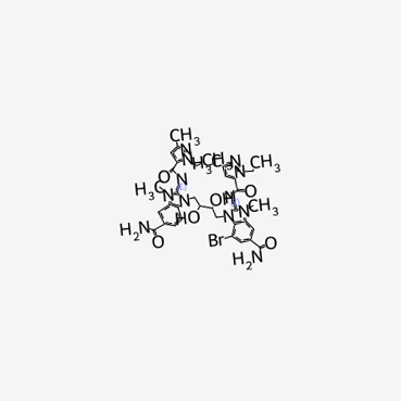 CCn1nc(C)cc1C(=O)/N=c1\n(C)c2cc(C(N)=O)ccc2n1CC(O)C(O)Cn1/c(=N/C(=O)c2cc(C)nn2CC)n(C)c2cc(C(N)=O)cc(Br)c21